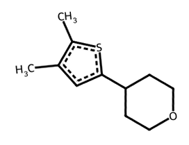 Cc1cc(C2CCOCC2)sc1C